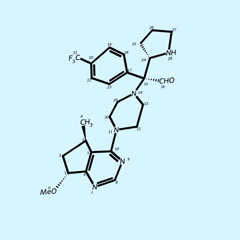 CO[C@@H]1C[C@@H](C)c2c1ncnc2N1CCN([C@@](C=O)(c2ccc(C(F)(F)F)cc2)[C@@H]2CCCN2)CC1